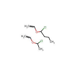 C=COC(C)Cl.C=COC(Cl)CCC